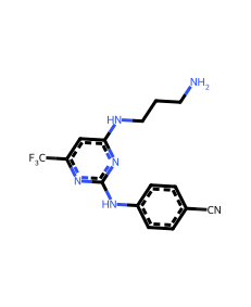 N#Cc1ccc(Nc2nc(NCCCN)cc(C(F)(F)F)n2)cc1